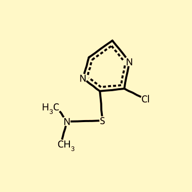 CN(C)Sc1nccnc1Cl